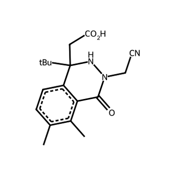 Cc1ccc2c(c1C)C(=O)N(CC#N)NC2(CC(=O)O)C(C)(C)C